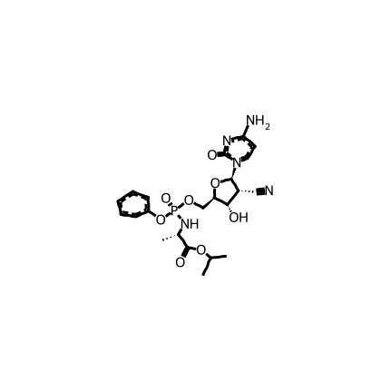 CC(C)OC(=O)[C@H](C)NP(=O)(OC[C@H]1O[C@@H](n2ccc(N)nc2=O)[C@H](C#N)[C@@H]1O)Oc1ccccc1